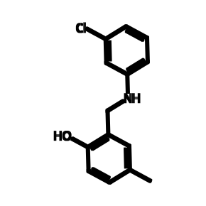 Cc1ccc(O)c(CNc2cccc(Cl)c2)c1